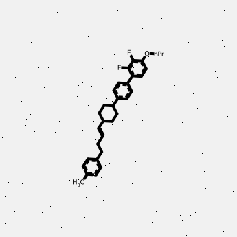 CCCOc1ccc(-c2ccc(C3CCC(/C=C/CCc4ccc(C)cc4)CC3)cc2)c(F)c1F